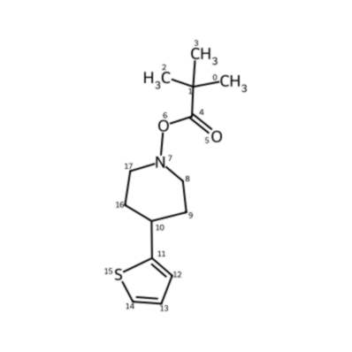 CC(C)(C)C(=O)ON1CCC(c2cccs2)CC1